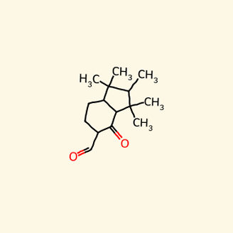 CC1C(C)(C)C2CCC(C=O)C(=O)C2C1(C)C